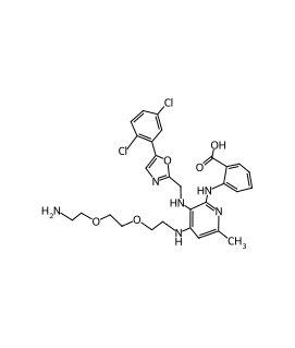 Cc1cc(NCCOCCOCCN)c(NCc2ncc(-c3cc(Cl)ccc3Cl)o2)c(Nc2ccccc2C(=O)O)n1